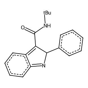 CC(C)(C)NC(=O)C1=c2ccccc2=NC1c1ccccc1